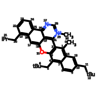 Cc1c2c(c(CC(C)(C)C)c3ccc(CC(C)(C)C)cc13)Oc1cc3c(CC(C)C)cccc3c3nc[n+](C)c-2c13